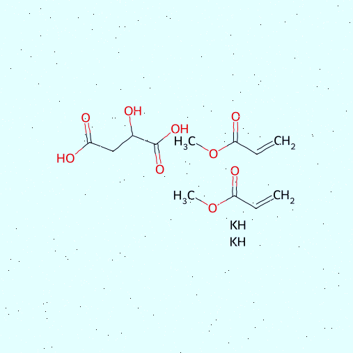 C=CC(=O)OC.C=CC(=O)OC.O=C(O)CC(O)C(=O)O.[KH].[KH]